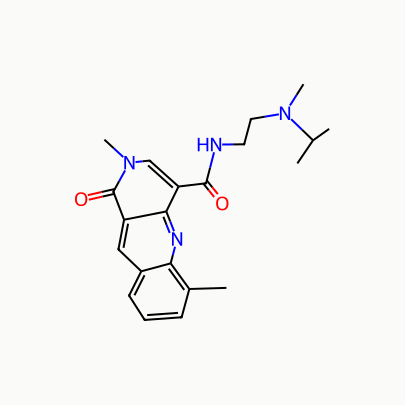 Cc1cccc2cc3c(=O)n(C)cc(C(=O)NCCN(C)C(C)C)c3nc12